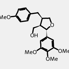 COc1ccc(C[C@H]2CO[C@H](c3cc(OC)c(OC)c(OC)c3)[C@H]2CO)cc1